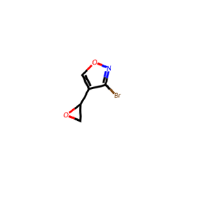 Brc1nocc1C1CO1